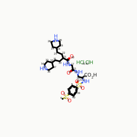 CS(=O)(=O)c1ccc(S(=O)(=O)NC(CNC(=O)CNC(=O)C(CCC2CCNCC2)CCC2CCNCC2)C(=O)O)cc1.Cl.Cl